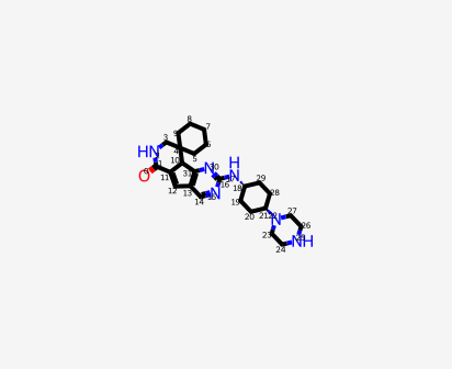 O=C1NCC2(CCCCC2)C2C1=Cc1cnc(N[C@H]3CC[C@H](N4CCNCC4)CC3)nc12